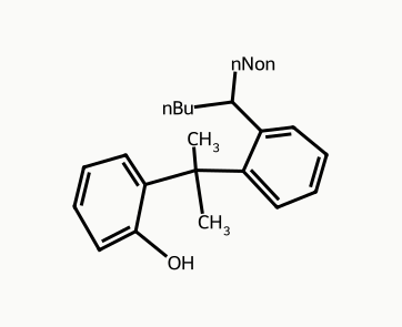 CCCCCCCCCC(CCCC)c1ccccc1C(C)(C)c1ccccc1O